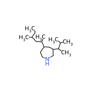 CCC(C)CC(C)C1CCNCC(C(C)C(C)C)C1